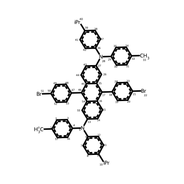 Cc1ccc(N(c2ccc(C(C)C)cc2)c2ccc3c(-c4ccc(Br)cc4)c4cc(N(c5ccc(C)cc5)c5ccc(C(C)C)cc5)ccc4c(-c4ccc(Br)cc4)c3c2)cc1